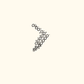 [O-][O-].[O-][O-].[O-][O-].[O-][O-].[O-][O-].[O-][O-].[O-][O-].[Re+7].[Re+7]